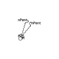 CCCCC/C=C\C/C=C\CCCCCCCCC1(CCCCCCCC/C=C\C/C=C\CCCCC)O[C@H]2CCCCC[C@@H]2O1